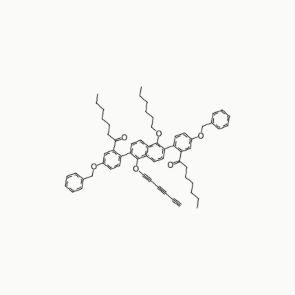 C#CC#CC#COc1c(-c2ccc(OCc3ccccc3)cc2C(=O)CCCCCC)ccc2c(OCCCCCC)c(-c3ccc(OCc4ccccc4)cc3C(=O)CCCCCC)ccc12